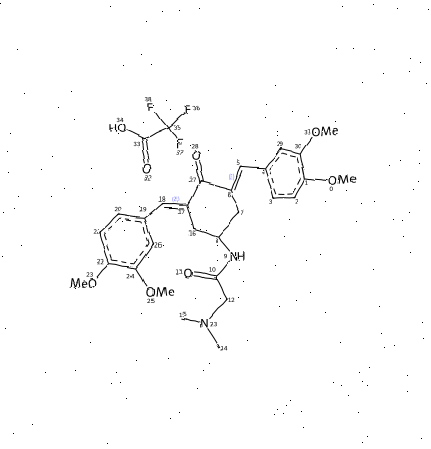 COc1ccc(/C=C2\CC(NC(=O)CN(C)C)C/C(=C\c3ccc(OC)c(OC)c3)C2=O)cc1OC.O=C(O)C(F)(F)F